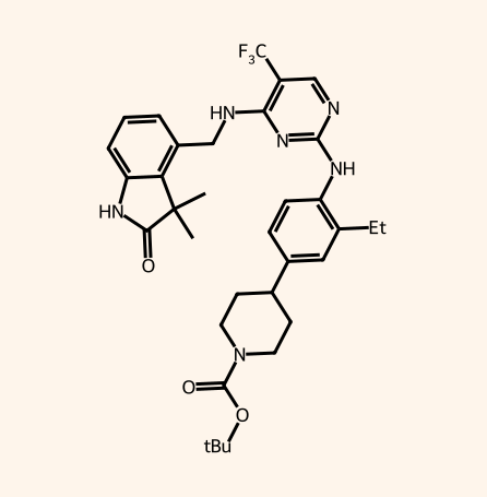 CCc1cc(C2CCN(C(=O)OC(C)(C)C)CC2)ccc1Nc1ncc(C(F)(F)F)c(NCc2cccc3c2C(C)(C)C(=O)N3)n1